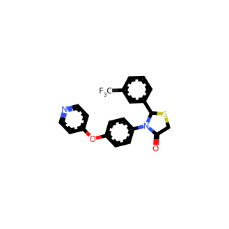 O=C1CSC(c2cccc(C(F)(F)F)c2)N1c1ccc(Oc2ccncc2)cc1